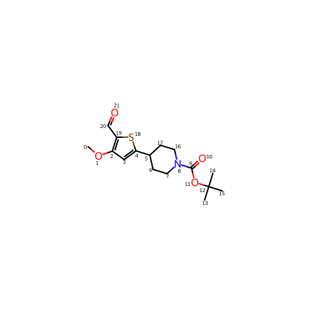 COc1cc(C2CCN(C(=O)OC(C)(C)C)CC2)sc1C=O